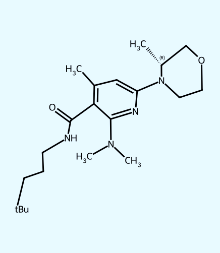 Cc1cc(N2CCOC[C@H]2C)nc(N(C)C)c1C(=O)NCCCC(C)(C)C